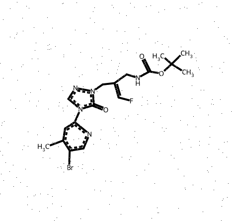 Cc1cc(-n2cnn(CC(=CF)CNC(=O)OC(C)(C)C)c2=O)ncc1Br